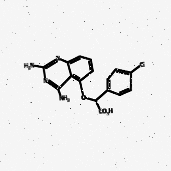 Nc1nc(N)c2c(OC(C(=O)O)c3ccc(Cl)cc3)cccc2n1